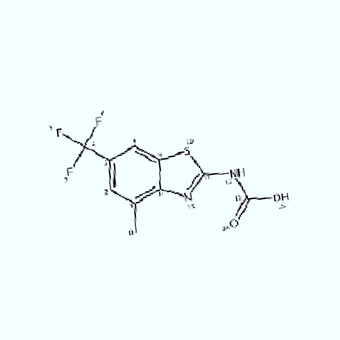 Cc1cc(C(F)(F)F)cc2sc(NC(=O)O)nc12